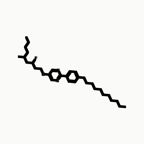 CCCCCCCCCCCc1ccc(-c2ncc(OCCC(F)CC(C)CCCC)cn2)cc1